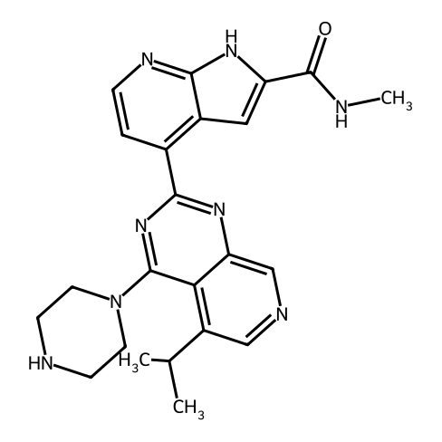 CNC(=O)c1cc2c(-c3nc(N4CCNCC4)c4c(C(C)C)cncc4n3)ccnc2[nH]1